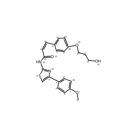 COc1ccc(-c2csc(NC(=O)/C=C\c3ccc(OCCCO)cc3)n2)cc1